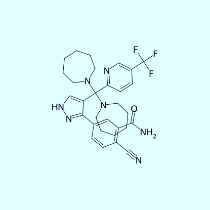 N#Cc1ccc(-c2n[nH]cc2C(c2ccc(C(F)(F)F)cn2)(N2CCCCCC2)N2CCCCCC2)cc1C(N)=O